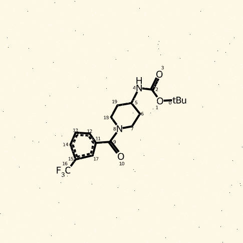 CC(C)(C)OC(=O)NC1CCN(C(=O)c2cccc(C(F)(F)F)c2)CC1